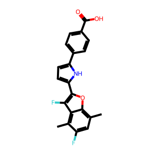 Cc1cc(F)c(C)c2c(F)c(-c3ccc(-c4ccc(C(=O)O)cc4)[nH]3)oc12